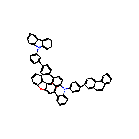 c1cc(-c2ccc(-c3ccc(N(c4ccc(-c5ccc6c(ccc7ccccc76)c5)cc4)c4ccccc4-c4ccc5c(c4)oc4ccccc45)cc3)cc2)cc(-n2c3ccccc3c3ccccc32)c1